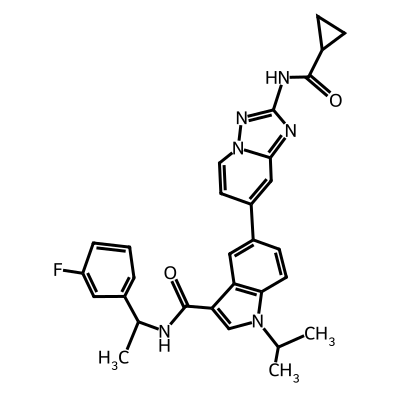 CC(NC(=O)c1cn(C(C)C)c2ccc(-c3ccn4nc(NC(=O)C5CC5)nc4c3)cc12)c1cccc(F)c1